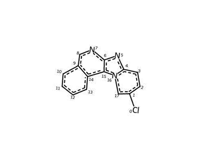 Clc1ccc2nc3ncc4ccccc4c3n2c1